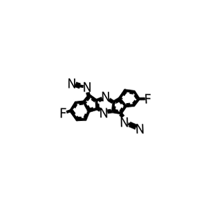 N#C/N=c1\c2cc(F)ccc2c2nc3/c(=N/C#N)c4cc(F)ccc4c3nc12